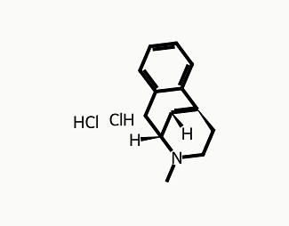 CN1CC[C@]23CCCC[C@H]2[C@H]1Cc1ccccc13.Cl.Cl